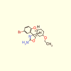 CCOC1CC[C@@H]2Oc3ccc(Br)cc3C3(COC(N)=N3)[C@H]2C1